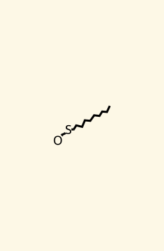 CCCCCCCCCCSCC=O